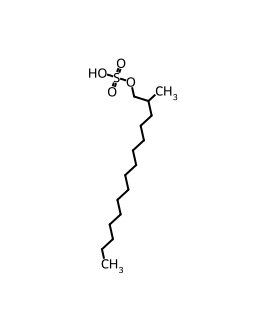 CCCCCCCCCCCCCC(C)COS(=O)(=O)O